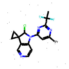 CC(C)c1cc(N2c3ccncc3C3(CC3)C2Cl)nc(C(C)(F)F)n1